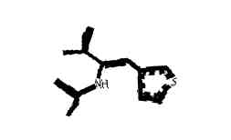 C=C(C)N/C(=C\c1ccsc1)C(=C)C